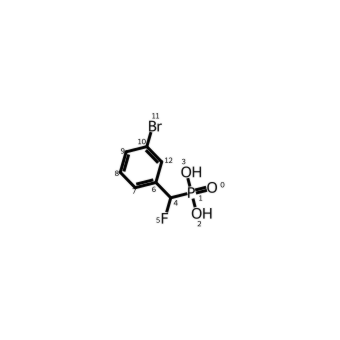 O=P(O)(O)C(F)c1cccc(Br)c1